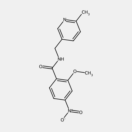 COc1cc([N+](=O)[O-])ccc1C(=O)NCc1ccc(C)nc1